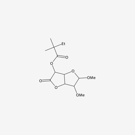 CCC(C)(C)C(=O)OC1C(=O)OC2C(OC)C(OC)OC12